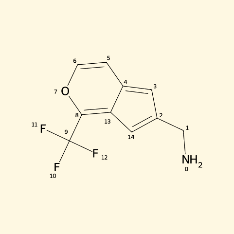 NCc1cc2ccoc(C(F)(F)F)c-2c1